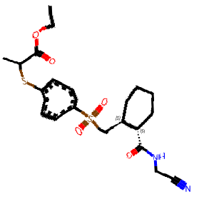 CCOC(=O)C(C)Sc1ccc(S(=O)(=O)C[C@H]2CCCC[C@@H]2C(=O)NCC#N)cc1